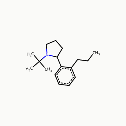 CCCc1ccccc1C1CCCN1C(C)(C)C